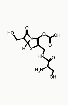 N[C@H](CO)C(=O)NCC1=C(OC(=O)O)N2C(=O)[C@H](CO)[C@H]2S1